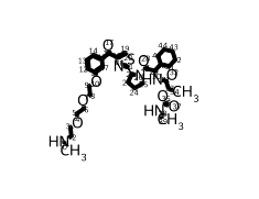 CNCCOCCOCCOc1cccc(C(=O)c2csc([C@@H]3CCCN3C(=O)C(NC(=O)C(C)OC(=O)NC)C3CCCCC3)n2)c1